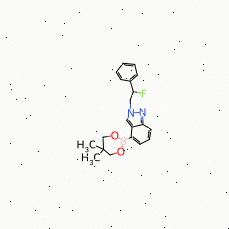 CC1(C)COB(c2cccc3nn(C[C@H](F)c4ccccc4)cc23)OC1